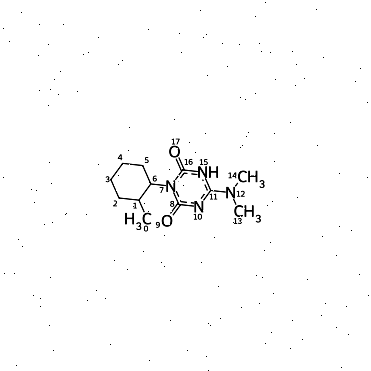 CC1CCCCC1n1c(=O)nc(N(C)C)[nH]c1=O